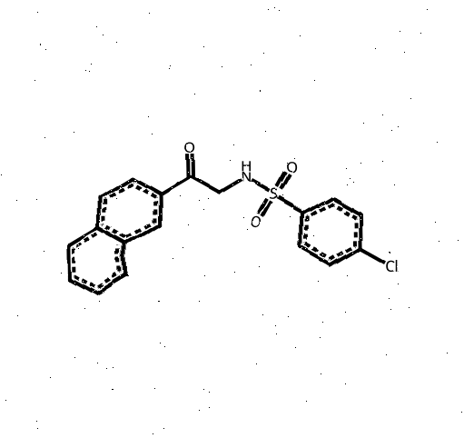 O=C(CNS(=O)(=O)c1ccc(Cl)cc1)c1ccc2ccccc2c1